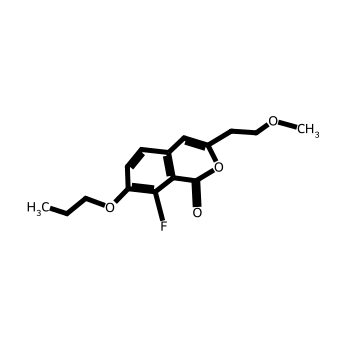 CCCOc1ccc2cc(CCOC)oc(=O)c2c1F